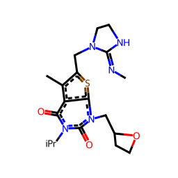 C/N=C1\NCCN1Cc1sc2c(c1C)c(=O)n(C(C)C)c(=O)n2CC1CCO1